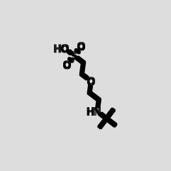 CC(C)(C)NCCOCCS(=O)(=O)O